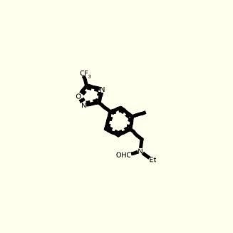 CCN(C=O)Cc1ccc(-c2noc(C(F)(F)F)n2)cc1C